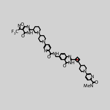 CNC(=O)c1ccc(N2CCC(N3CC4(c5nc6ccc(CNC(=O)c7ccc(N8CCC(N9CCCC(c%10nc%11onc(C(F)(F)F)c%11c(=O)[nH]%10)C9)CC8)cn7)cc6c(=O)[nH]5)CC3C4)CC2)cn1